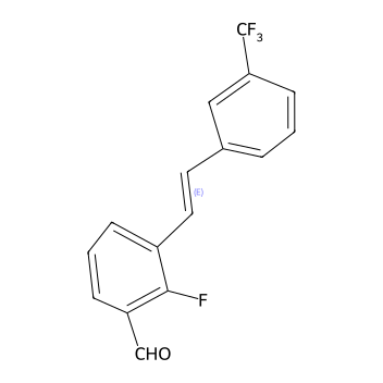 O=Cc1cccc(/C=C/c2cccc(C(F)(F)F)c2)c1F